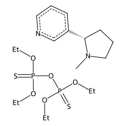 CCOP(=S)(OCC)OP(=S)(OCC)OCC.CN1CCC[C@H]1c1cccnc1